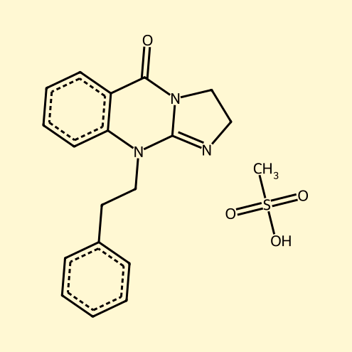 CS(=O)(=O)O.O=C1c2ccccc2N(CCc2ccccc2)C2=NCCN12